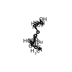 Cc1ncsc1-c1ccc(CNC(=O)[C@@H]2C[C@@H](O)CN2C(=O)[C@@H](NC(=O)CN2CCC(c3cccc(C#Cc4cc(NC(=O)Nc5cc(F)ncc5CO)ccn4)c3)CC2)C(C)(C)C)cc1